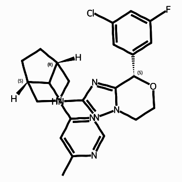 Cc1cc(N2C[C@H]3CC[C@@H](C2)C3Nc2nc3n(n2)CCO[C@H]3c2cc(F)cc(Cl)c2)ncn1